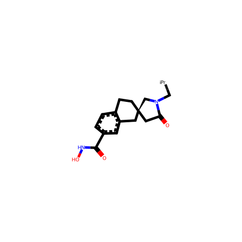 CC(C)CN1C[C@@]2(CCc3ccc(C(=O)NO)cc3C2)CC1=O